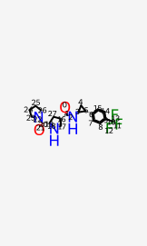 O=C(NC1C[C@@H]1c1ccc(C(F)(F)F)cc1)[C@@H]1CN[C@H](C(=O)N2CCCC2)C1